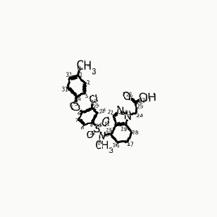 Cc1ccc(Oc2ccc(S(=O)(=O)N(C)C3CCCc4c3cnn4CC(=O)O)cc2Cl)cc1